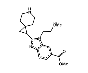 COCCn1c(C2CC23CCNCC3)nc2ncc(C(=O)OC)cc21.Cl